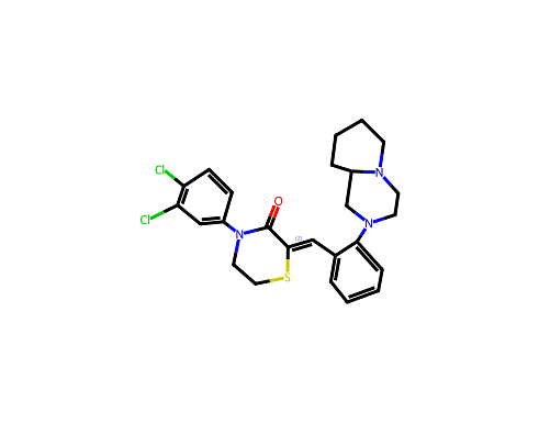 O=C1/C(=C/c2ccccc2N2CCN3CCCCC3C2)SCCN1c1ccc(Cl)c(Cl)c1